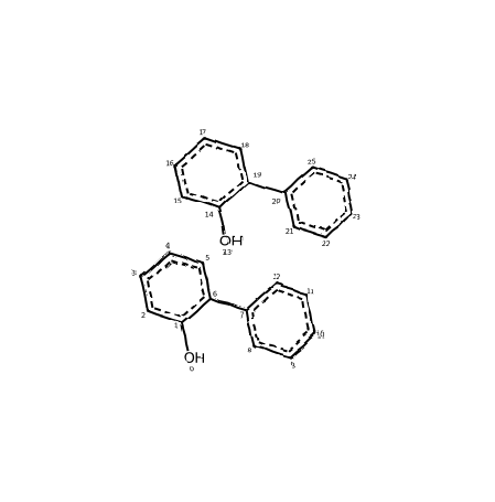 Oc1ccccc1-c1ccccc1.Oc1ccccc1-c1ccccc1